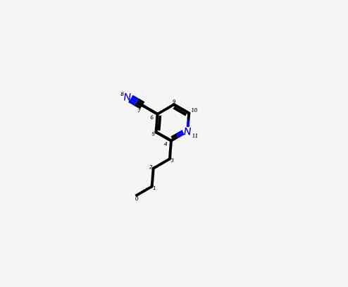 CCCCc1cc(C#N)ccn1